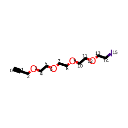 C#CCOCCOCCOCCOCCI